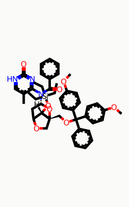 CC[Si](CC)(CC)O[C@H]1C2C[C@H](N(C(=O)c3ccccc3)c3nc(=O)[nH]cc3C)O[C@]1(COC(c1ccccc1)(c1ccc(OC)cc1)c1ccc(OC)cc1)CO2